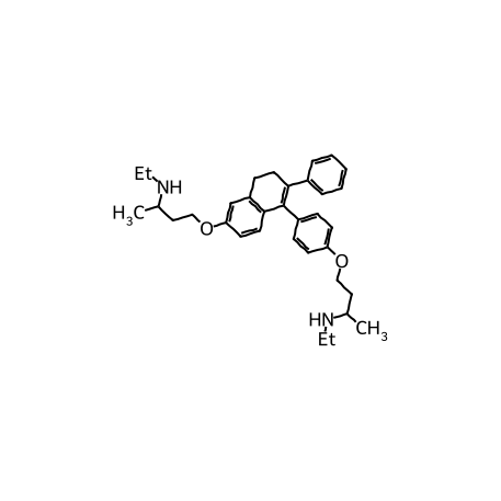 CCNC(C)CCOc1ccc(C2=C(c3ccccc3)CCc3cc(OCCC(C)NCC)ccc32)cc1